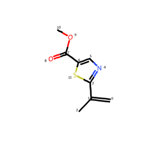 C=C(C)c1ncc(C(=O)OC)s1